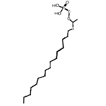 CCCCCCCCCCCCCCCCSC(C)OOP(=O)(O)O